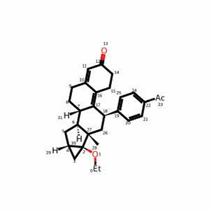 CCO[C@@]12C[C@@H]1C[C@H]1[C@@H]3CCC4=CC(=O)CCC4=C3[C@@H](c3ccc(C(C)=O)cc3)C[C@@]12C